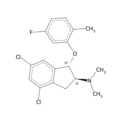 Cc1ccc(F)cc1O[C@H]1c2cc(Cl)cc(Cl)c2C[C@@H]1N(C)C